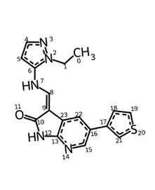 CCn1nccc1N/C=C1\C(=O)Nc2ncc(-c3ccsc3)cc21